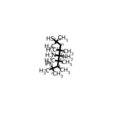 CC(C)C(C)(C)C(C)C(C)(C)C(N)(N)C(C)(C)CC(C)(C)S